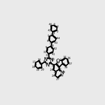 c1ccc(-c2ccc(-c3ccc(-c4nc(-c5ccccc5)nc(-c5cc6cccnc6c6c5oc5ccccc56)n4)cc3)cc2)cc1